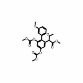 COC(=O)Oc1cc(OC(=O)OC)c(-c2cccc(OC)c2)c(C(C(C)=O)C(=O)OC)c1